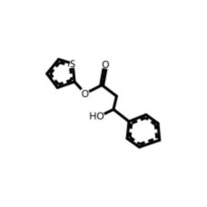 O=C(CC(O)c1ccccc1)Oc1cccs1